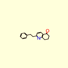 O=C1CCCc2nc(CCc3ccccc3)ccc21